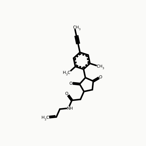 C=CCNC(=O)CC1CC(=O)C(c2c(C)cc(C#CC)cc2C)C1=O